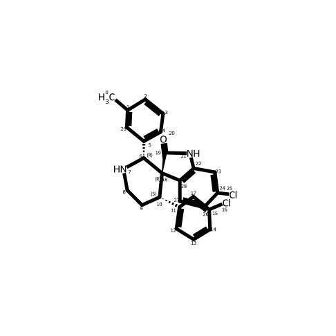 Cc1cccc([C@H]2NCC[C@@H](c3cccc(Cl)c3)[C@]23C(=O)Nc2cc(Cl)ccc23)c1